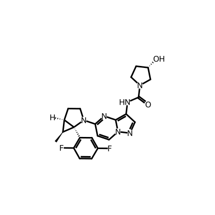 C[C@H]1[C@H]2CCN(c3ccn4ncc(NC(=O)N5CC[C@H](O)C5)c4n3)[C@]21c1cc(F)ccc1F